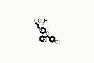 O=C(O)CCCN1CCC(OC(c2ccc(Cl)cc2)c2ccccn2)CC1